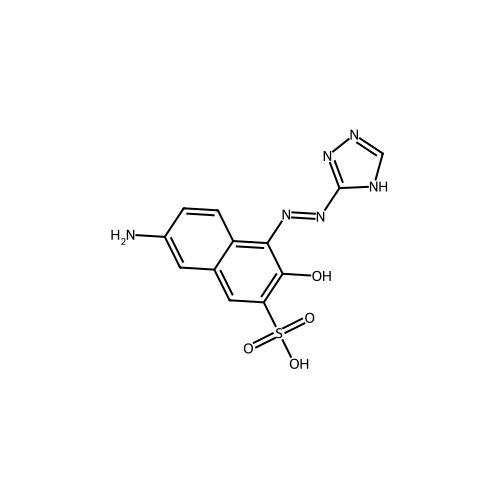 Nc1ccc2c(N=Nc3nnc[nH]3)c(O)c(S(=O)(=O)O)cc2c1